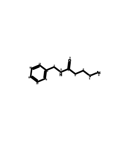 CC(=O)SCCC(=O)NCc1ccccc1